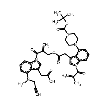 C#CCN(C)c1cccc2c1c(CC(=O)O)cn2C(=O)C(=C)COC(=O)Cc1cn(C(=O)C(=C)C)c2cccc(N3CCN(C(=O)OC(C)(C)C)CC3)c12